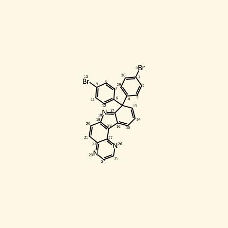 Brc1ccc(C2(c3ccc(Br)cc3)C=CC=C3C2=Nc2ccc4nccnc4c23)cc1